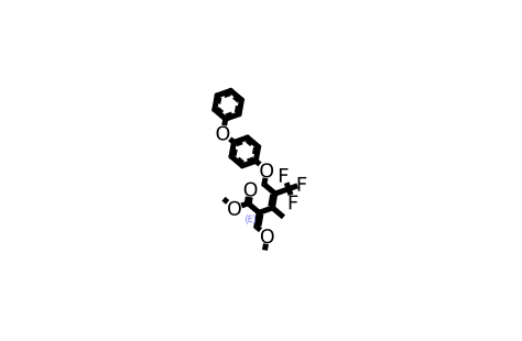 CO/C=C(/C(=O)OC)C(C)=C(COc1ccc(Oc2ccccc2)cc1)C(F)(F)F